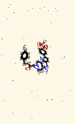 CN(Cc1ccc(-c2ccc(S(C)(=O)=O)cc2)nc1)C1CCN(C(=O)CCc2ccc(F)cc2)CC1